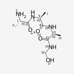 C[C@H](N)C(=O)N[C@@H](C)C(=O)N[C@@H](C)C(=O)NCO